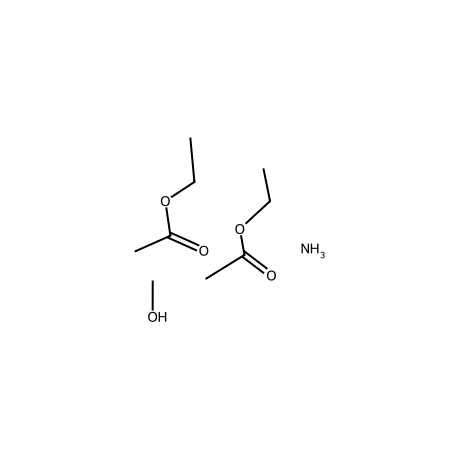 CCOC(C)=O.CCOC(C)=O.CO.N